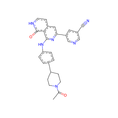 CC(=O)N1CCC(c2ccc(Nc3nc(-c4cncc(C#N)c4)cc4cc[nH]c(=O)c34)cc2)CC1